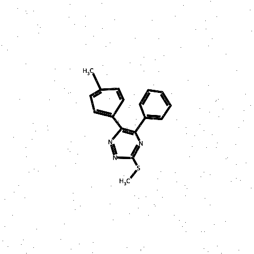 CSc1nnc(-c2ccc(C)cc2)c(-c2ccccc2)n1